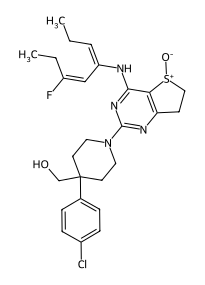 CC/C=C(\C=C(\F)CC)Nc1nc(N2CCC(CO)(c3ccc(Cl)cc3)CC2)nc2c1[S+]([O-])CC2